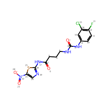 O=C(CCCNC(=O)Nc1ccc(F)c(Cl)c1)Nc1ncc([N+](=O)[O-])s1